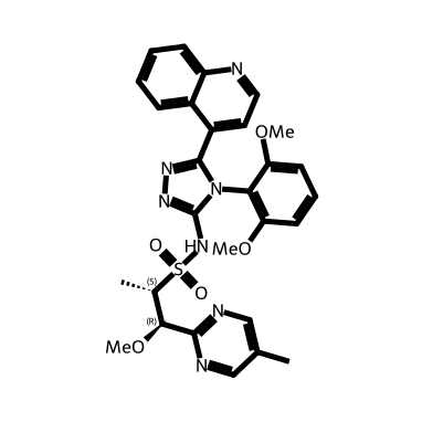 COc1cccc(OC)c1-n1c(NS(=O)(=O)[C@@H](C)[C@H](OC)c2ncc(C)cn2)nnc1-c1ccnc2ccccc12